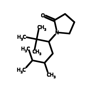 CC(C)C(C)CC(N1CCCC1=O)C(C)(C)C